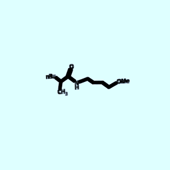 CCCCC(C)C(=O)NCCCCOC